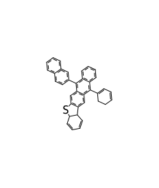 C1=CCCC(c2c3ccccc3c(-c3ccc4ccccc4c3)c3cc4c(cc23)C2C=CC=CC2S4)=C1